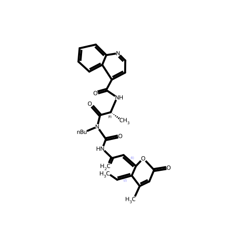 C=C(/C=c1/oc(=O)cc(C)/c1=C/C)NC(=O)N(CCCC)C(=O)[C@@H](C)NC(=O)c1ccnc2ccccc12